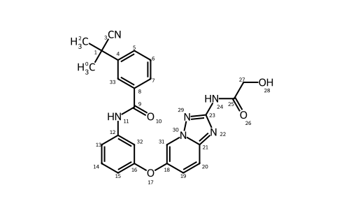 CC(C)(C#N)c1cccc(C(=O)Nc2cccc(Oc3ccc4nc(NC(=O)CO)nn4c3)c2)c1